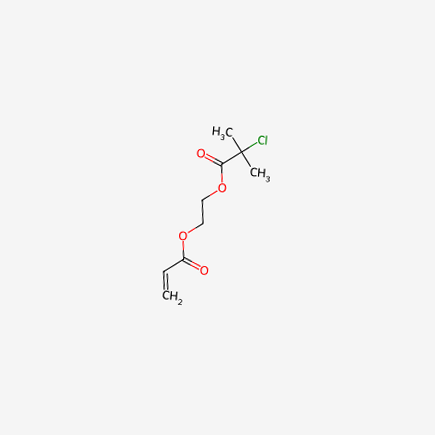 C=CC(=O)OCCOC(=O)C(C)(C)Cl